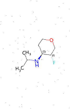 CC(C)N[C@H]1CCOC[C@@H]1F